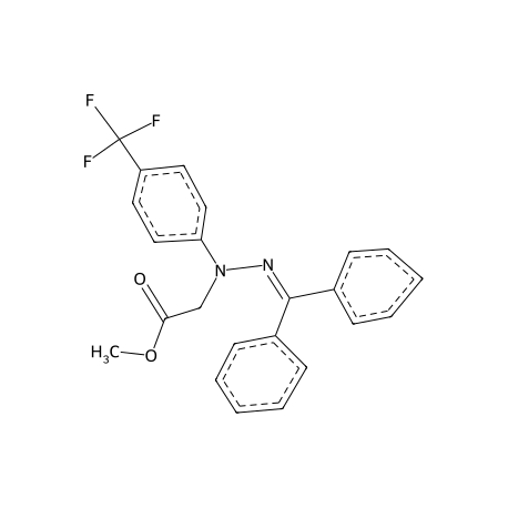 COC(=O)CN(N=C(c1ccccc1)c1ccccc1)c1ccc(C(F)(F)F)cc1